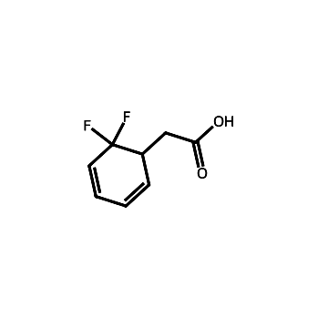 O=C(O)CC1C=CC=CC1(F)F